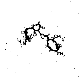 Cc1ccc(COc2cccc3ccc(N)nc23)c(C)c1